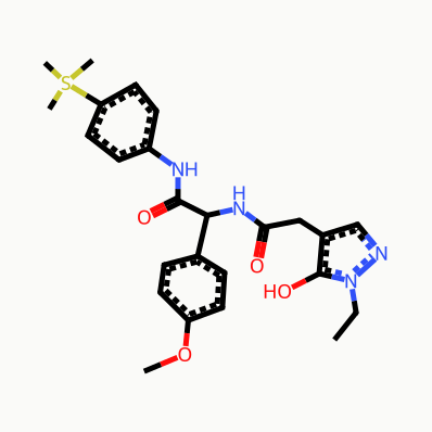 CCn1ncc(CC(=O)NC(C(=O)Nc2ccc(S(C)(C)C)cc2)c2ccc(OC)cc2)c1O